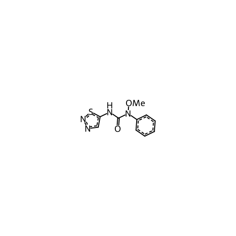 CON(C(=O)Nc1cnns1)c1ccccc1